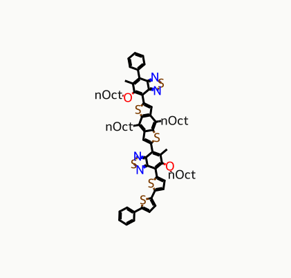 CCCCCCCCOc1c(C)c(-c2ccccc2)c2nsnc2c1-c1cc2c(CCCCCCCC)c3sc(-c4c(C)c(OCCCCCCCC)c(-c5ccc(-c6ccc(-c7ccccc7)s6)s5)c5nsnc45)cc3c(CCCCCCCC)c2s1